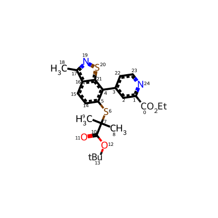 CCOC(=O)c1cc(-c2c(SC(C)(C)C(=O)OC(C)(C)C)ccc3c(C)nsc23)ccn1